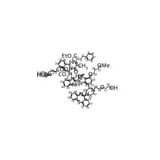 CCOC(=O)[C@H](CCc1ccccc1)N[C@@H](C)C(=O)N1Cc2ccccc2C[C@H]1C(=O)O.COCCCOc1ccnc(C[S+]([O-])c2nc3ccccc3[nH]2)c1C.Cl.O=C([O-])/C=C/C(=O)O.OCCOCCN1CCN(C2=Nc3ccccc3Sc3ccccc32)CC1.[Na+]